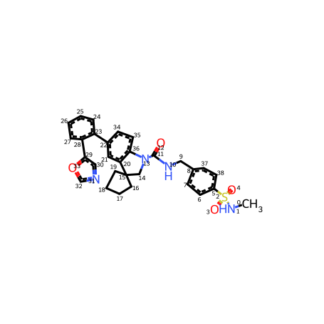 CNS(=O)(=O)c1ccc(CNC(=O)N2CC3(CCCC3)c3cc(-c4ccccc4-c4cnco4)ccc32)cc1